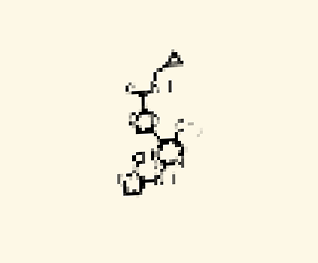 Cc1cnc(Nc2ccnn2C)nc1-c1coc(C(=O)NCC2CC2)n1